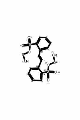 N#CSOS(=O)(=O)c1ccccc1C=Cc1ccccc1S(=O)(=O)OSC#N